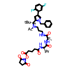 CC(=O)N(CCCNC(=O)[C@H](C)NC(=O)[C@@H](NC(=O)CCCC(=O)ON1C(=O)CCC1=O)C(C)C)[C@@H](c1cc(-c2cc(F)ccc2F)cn1Cc1ccccc1)C(C)(C)C